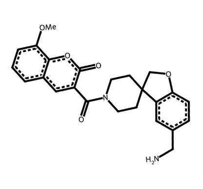 COc1cccc2cc(C(=O)N3CCC4(CC3)COc3ccc(CN)cc34)c(=O)oc12